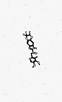 COc1cnc(C[S+]([O-])c2nc3cc4c(cc3[nH]2)OC(F)C(F)(F)O4)c(C)c1OC